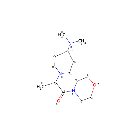 CC(C(=O)N1CCOCC1)N1CCC(N(C)C)CC1